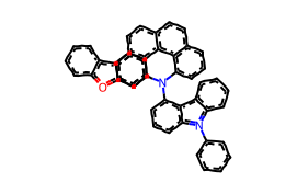 c1ccc(-n2c3ccccc3c3c(N(c4ccc5c(c4)oc4ccccc45)c4cccc5ccc6ccc7ccccc7c6c45)cccc32)cc1